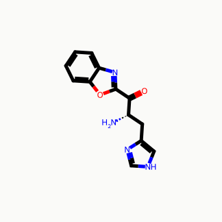 N[C@@H](Cc1c[nH]cn1)C(=O)c1nc2ccccc2o1